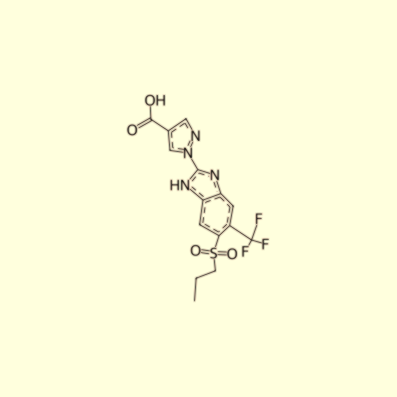 CCCS(=O)(=O)c1cc2[nH]c(-n3cc(C(=O)O)cn3)nc2cc1C(F)(F)F